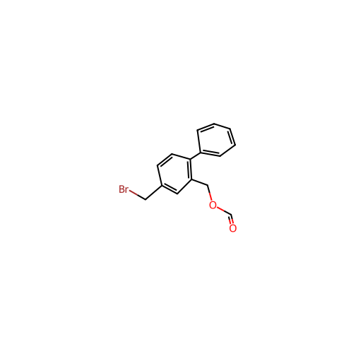 O=COCc1cc(CBr)ccc1-c1ccccc1